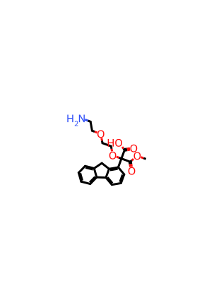 COC(=O)C(OCCOCCN)(C(=O)O)c1cccc2c1Cc1ccccc1-2